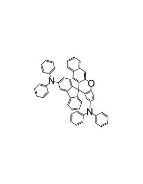 c1ccc(N(c2ccccc2)c2ccc3c(c2)-c2ccccc2C32c3cc(N(c4ccccc4)c4ccccc4)ccc3Oc3cc4ccccc4cc32)cc1